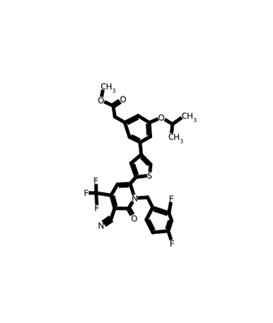 COC(=O)Cc1cc(OC(C)C)cc(-c2csc(-c3cc(C(F)(F)F)c(C#N)c(=O)n3Cc3ccc(F)cc3F)c2)c1